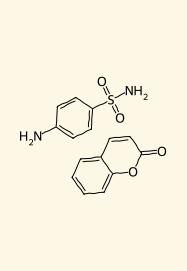 Nc1ccc(S(N)(=O)=O)cc1.O=c1ccc2ccccc2o1